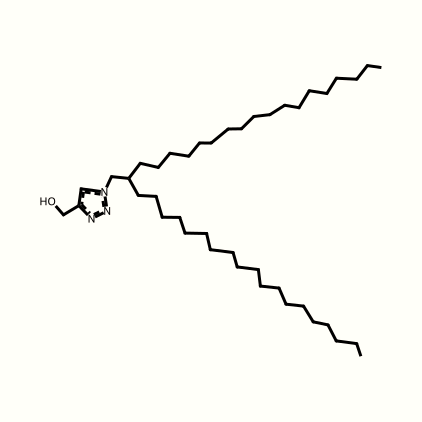 CCCCCCCCCCCCCCCCCCCC(CCCCCCCCCCCCCCCCCC)Cn1cc(CO)nn1